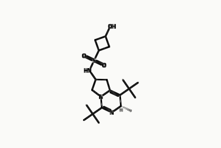 C[C@@H]1N=C(C(C)(C)C)N2CC(NS(=O)(=O)C3CC(O)C3)CC2=C1C(C)(C)C